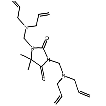 C=CCN(CC=C)CN1C(=O)N(CN(CC=C)CC=C)C(C)(C)C1=O